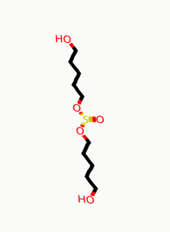 O=S(OCCCCCO)OCCCCCO